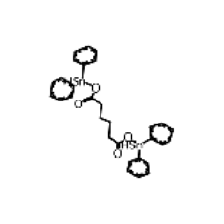 O=C(CCCCC(=O)[O][SnH]([c]1ccccc1)[c]1ccccc1)[O][SnH]([c]1ccccc1)[c]1ccccc1